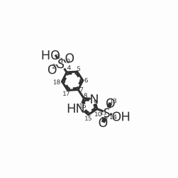 O=S(=O)(O)c1ccc(-c2nc(S(=O)(=O)O)c[nH]2)cc1